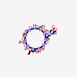 C/C=C/C[C@@H](C)[C@@H](O)[C@H]1C(=O)N[C@@H](CC)C(=O)N(C)[C@H](C)C(=O)N[C@@H]([C@H](C)CCN2CCN3C(=O)OC[C@@H]3C2)C(=O)N[C@@H](C(C)C)C(=O)N(C)[C@@H](CC(C)C)C(=O)N[C@@H](C)C(=O)N[C@H](C)C(=O)N(C)[C@@H](CC(C)C)C(=O)N(C)[C@@H](CC(C)C)C(=O)N(C)[C@@H](C(C)C)C(=O)N1C